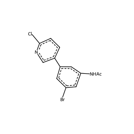 CC(=O)Nc1cc(Br)cc(-c2ccc(Cl)nc2)c1